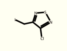 Clc1nsnc1CI